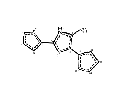 Cc1[nH]c(-c2cccs2)nc1-c1cccs1